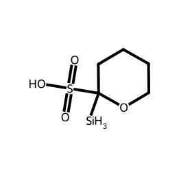 O=S(=O)(O)C1([SiH3])CCCCO1